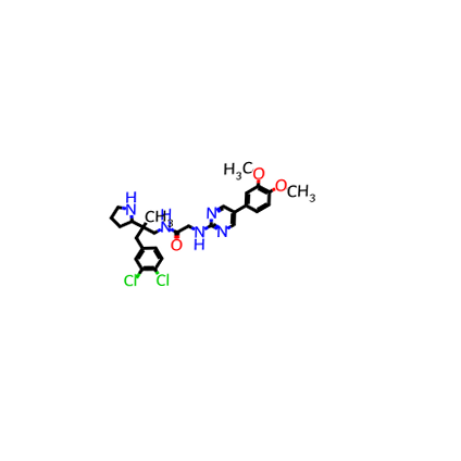 COc1ccc(-c2cnc(NCC(=O)NCC(C)(Cc3ccc(Cl)c(Cl)c3)C3CCCN3)nc2)cc1OC